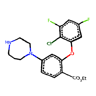 CCOC(=O)c1ccc(N2CCNCC2)cc1Oc1cc(F)cc(F)c1Cl